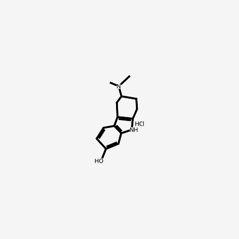 CN(C)C1CCc2[nH]c3cc(O)ccc3c2C1.Cl